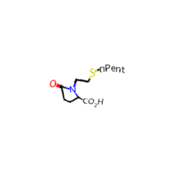 CCCCCSCCN1C(=O)CCC1C(=O)O